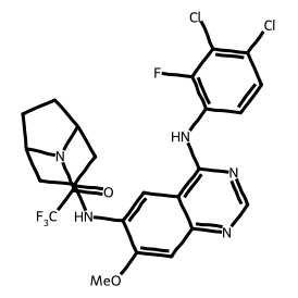 COc1cc2ncnc(Nc3ccc(Cl)c(Cl)c3F)c2cc1NC1CC2CCC(C1)N2C(=O)C(F)(F)F